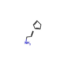 C1=CCC=C1.C=CCN